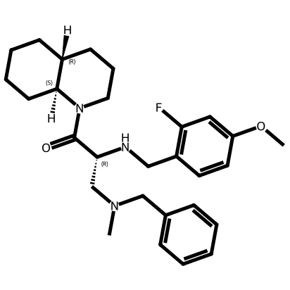 COc1ccc(CN[C@H](CN(C)Cc2ccccc2)C(=O)N2CCC[C@H]3CCCC[C@@H]32)c(F)c1